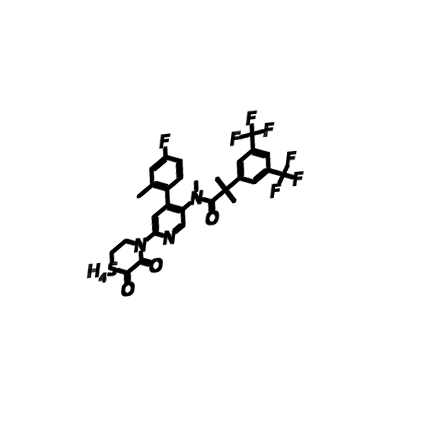 Cc1cc(F)ccc1-c1cc(N2CC[SH4]C(=O)C2=O)ncc1N(C)C(=O)C(C)(C)c1cc(C(F)(F)F)cc(C(F)(F)F)c1